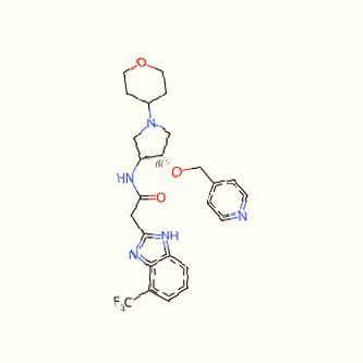 O=C(Cc1nc2c(C(F)(F)F)cccc2[nH]1)NC1CN(C2CCOCC2)C[C@@H]1OCc1ccncc1